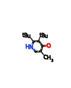 Cc1c[nH]c(C(C)(C)C)c(C(C)(C)C)c1=O